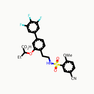 CCC(Oc1cc(-c2cc(F)c(F)c(F)c2)ccc1CCNS(=O)(=O)c1cc(C#N)ccc1OC)C(=O)O